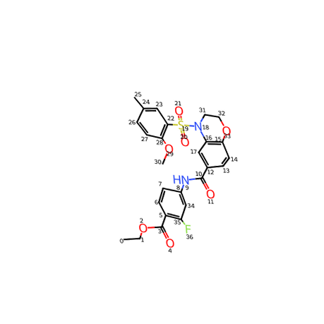 CCOC(=O)c1ccc(NC(=O)c2ccc3c(c2)N(S(=O)(=O)c2cc(C)ccc2OC)CCO3)cc1F